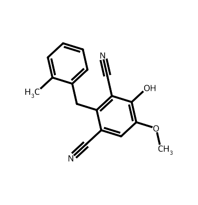 COc1cc(C#N)c(Cc2ccccc2C)c(C#N)c1O